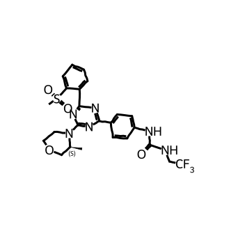 C[C@H]1COCCN1c1nc(-c2ccc(NC(=O)NCC(F)(F)F)cc2)nc(-c2ccccc2S(C)(=O)=O)n1